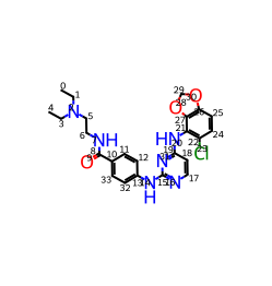 CCN(CC)CCNC(=O)c1ccc(Nc2nccc(Nc3c(Cl)ccc4c3OCO4)n2)cc1